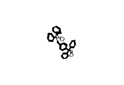 O=PC(c1ccccc1)(c1ccccc1)c1ccc(CP(=O)(c2ccccc2)c2ccccc2)cc1